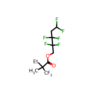 CCC(C)(C(=O)OCC(F)(F)C(F)(F)CC(F)F)C(F)(F)F